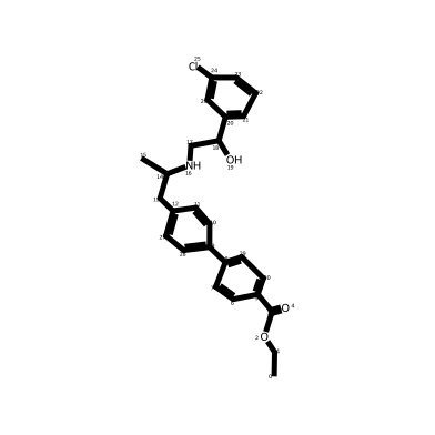 CCOC(=O)c1ccc(-c2ccc(CC(C)NCC(O)c3cccc(Cl)c3)cc2)cc1